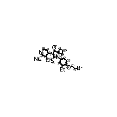 CCc1cc(N2C(=S)N(c3ccnc(C#N)c3C(F)(F)F)C(=O)C23CCC3)ccc1OCCBr